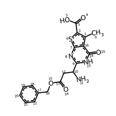 Cc1c(C(=O)O)sc2nc(C(N)CC(=O)OCc3ccccc3)[nH]c(=O)c12